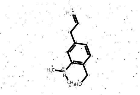 C=CCc1ccc(CO)c([SiH](C)C)c1